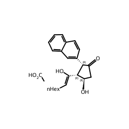 CC(=O)O.CCCCCCC=C(O)[C@H]1[C@H](O)CC(=O)[C@H]1c1ccc2ccccc2c1